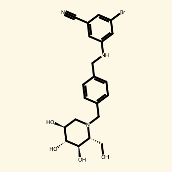 N#Cc1cc(Br)cc(NCc2ccc(CN3C[C@H](O)[C@@H](O)[C@H](O)[C@H]3CO)cc2)c1